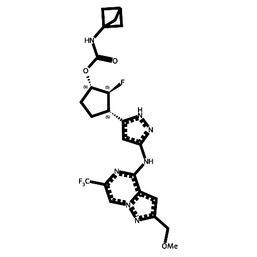 COCc1cc2c(Nc3cc([C@@H]4CC[C@H](OC(=O)NC56CC(C5)C6)[C@H]4F)[nH]n3)nc(C(F)(F)F)cn2n1